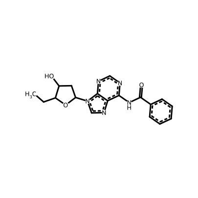 CCC1OC(n2cnc3c(NC(=O)c4ccccc4)ncnc32)CC1O